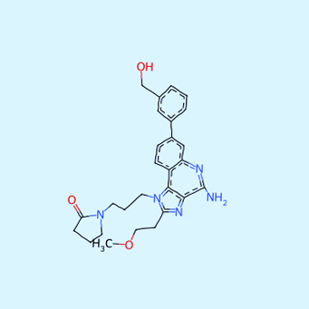 COCCc1nc2c(N)nc3cc(-c4cccc(CO)c4)ccc3c2n1CCCN1CCCC1=O